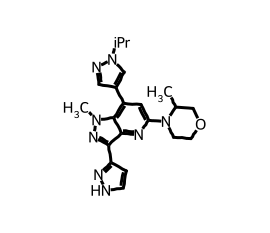 CC1COCCN1c1cc(-c2cnn(C(C)C)c2)c2c(n1)c(-c1cc[nH]n1)nn2C